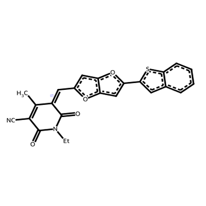 CCN1C(=O)C(C#N)=C(C)/C(=C/c2cc3oc(-c4cc5ccccc5s4)cc3o2)C1=O